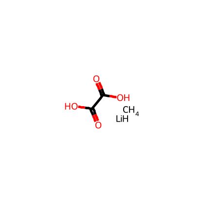 C.O=C(O)C(=O)O.[LiH]